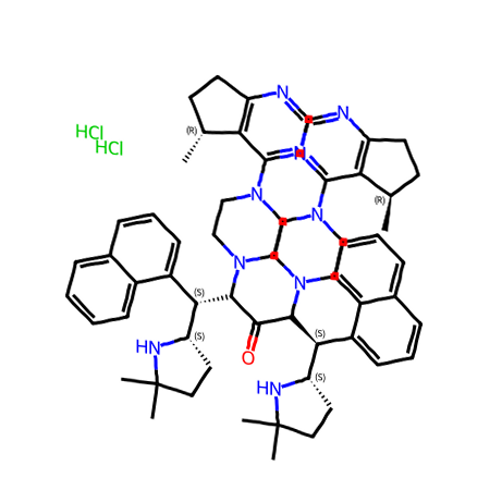 C[C@@H]1CCc2ncnc(N3CCN(C(C(=O)C([C@@H](c4cccc5ccccc45)[C@@H]4CCC(C)(C)N4)N4CCN(c5ncnc6c5[C@H](C)CC6)CC4)[C@@H](c4cccc5ccccc45)[C@@H]4CCC(C)(C)N4)CC3)c21.Cl.Cl